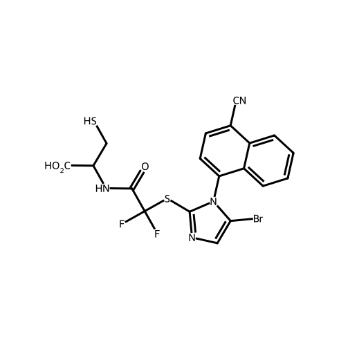 N#Cc1ccc(-n2c(Br)cnc2SC(F)(F)C(=O)NC(CS)C(=O)O)c2ccccc12